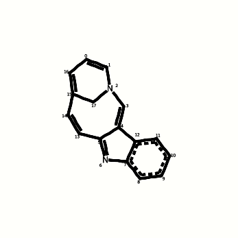 C1=CN2C=C3C(=Nc4ccccc43)C=CC(=C1)C2